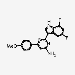 COc1ccc(-c2cc(N)nc(-c3c[nH]c4c(F)cc(F)cc34)n2)cc1